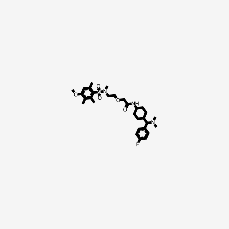 COc1cc(C)c(S(=O)(=O)N(C)CCOCC(=O)NC2CCC(C(c3ccc(F)cc3)N(C)C)CC2)c(C)c1C